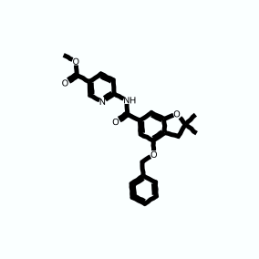 COC(=O)c1ccc(NC(=O)c2cc(OCC3=C=C=CC=C3)c3c(c2)OC(C)(C)C3)nc1